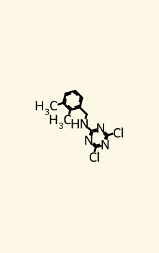 Cc1cccc(CNc2nc(Cl)nc(Cl)n2)c1C